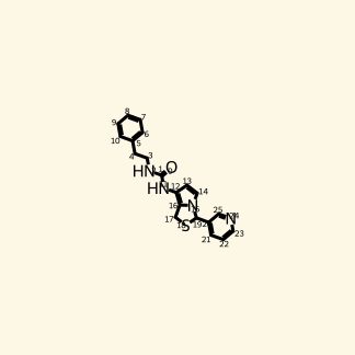 O=C(NCCc1ccccc1)Nc1ccn2c1CSC2c1cccnc1